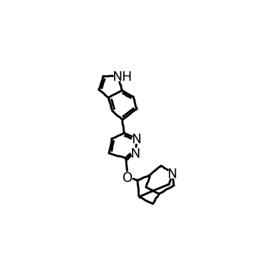 c1cc2cc(-c3ccc(OC4C5CC6CC4CN(C6)C5)nn3)ccc2[nH]1